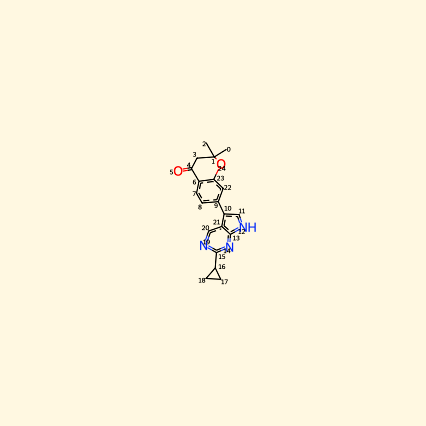 CC1(C)CC(=O)c2ccc(-c3c[nH]c4nc(C5CC5)ncc34)cc2O1